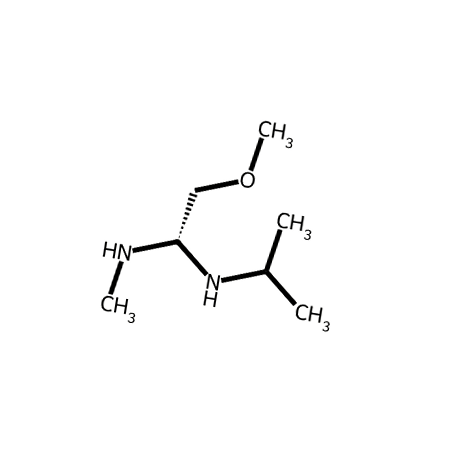 CN[C@H](COC)NC(C)C